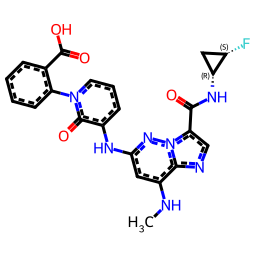 CNc1cc(Nc2cccn(-c3ccccc3C(=O)O)c2=O)nn2c(C(=O)N[C@@H]3C[C@@H]3F)cnc12